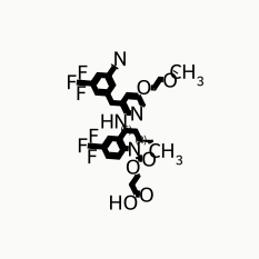 CC[C@@H]1C[C@H](Nc2ncc(OCCOC)cc2Cc2cc(C#N)cc(C(F)(F)F)c2)c2cc(C(F)(F)F)ccc2N1C(=O)OCCC(=O)O